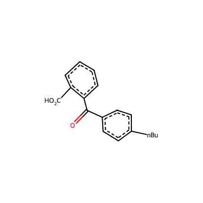 CCCCc1ccc(C(=O)c2ccccc2C(=O)O)cc1